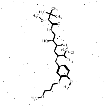 COCCCOc1cc(C[C@@H](C[C@H](N)[C@@H](O)CNC(=O)[C@H](OC)C(C)(C)C)C(C)C)ccc1OC.Cl